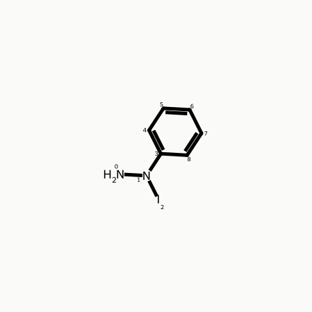 NN(I)c1ccccc1